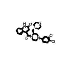 O=C(c1cc(=O)[nH]c2ccccc12)N1CCN(c2ccc(Cl)c(Cl)c2)CC1CN1CCOCC1